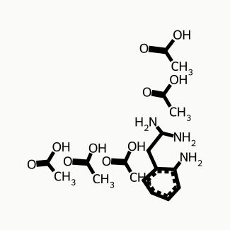 CC(=O)O.CC(=O)O.CC(=O)O.CC(=O)O.CC(=O)O.Nc1ccccc1CC(N)N